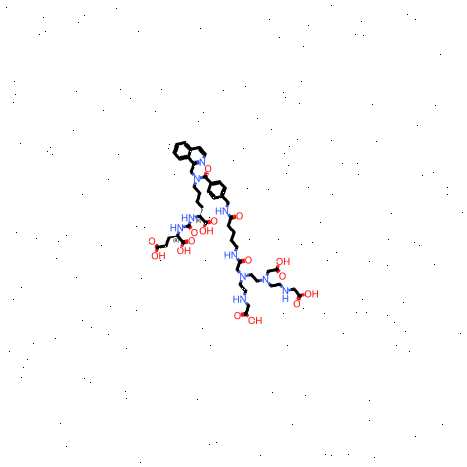 O=C(O)CC[C@@H](NC(=O)N[C@H](CCCCN(Cc1nccc2ccccc12)C(=O)c1ccc(CNC(=O)CCCCNC(=O)CN(CCNCC(=O)O)CCN(CCNCC(=O)O)CC(=O)O)cc1)C(=O)O)C(=O)O